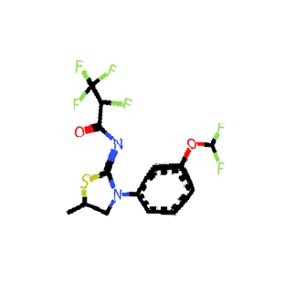 CC1CN(c2cccc(OC(F)F)c2)C(=NC(=O)C(F)C(F)(F)F)S1